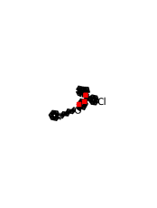 Clc1ccc(C(=C2C3CC4CC(C3)CC2C4)c2ccc(OCCCCCCN3CCCCC3)cc2)cc1